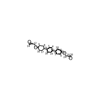 c1cc(-c2ccc(C3CCC(OCC4CO4)CC3)cc2)ccc1OCC1CO1